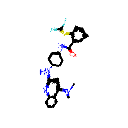 CN(C)c1cc(N[C@H]2CC[C@@H](NC(=O)c3ccccc3SC(F)F)CC2)nc2ccccc12